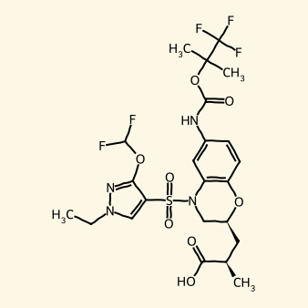 CCn1cc(S(=O)(=O)N2C[C@H](C[C@@H](C)C(=O)O)Oc3ccc(NC(=O)OC(C)(C)C(F)(F)F)cc32)c(OC(F)F)n1